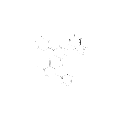 CN(C)C(=O)C(Cc1ccccc1)Nc1nc(-c2cccc3[nH]ncc23)nc(N2CCOCC2)n1